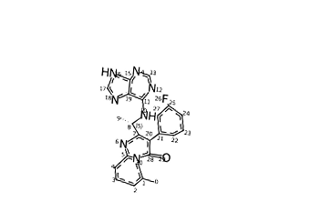 Cc1cccc2nc([C@H](C)Nc3ncnc4[nH]cnc34)c(-c3cccc(F)c3)c(=O)n12